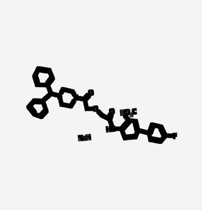 O=C(COCC(=O)N1CCN(C(c2ccccc2)c2ccccc2)CC1)Nc1ccc(-c2ccc(F)cc2)cc1C(=O)O.[NaH]